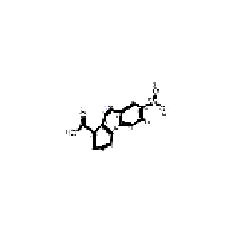 O=C(O)c1ccccc1/C=C\c1cccc([N+](=O)[O-])c1